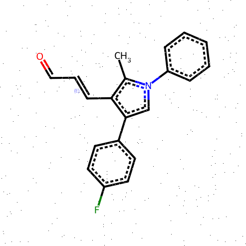 Cc1c(/C=C/C=O)c(-c2ccc(F)cc2)cn1-c1ccccc1